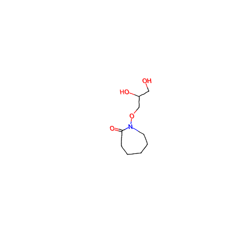 O=C1CCCCCN1OCC(O)CO